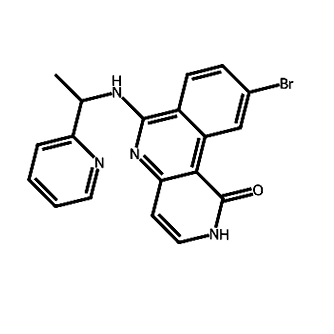 CC(Nc1nc2cc[nH]c(=O)c2c2cc(Br)ccc12)c1ccccn1